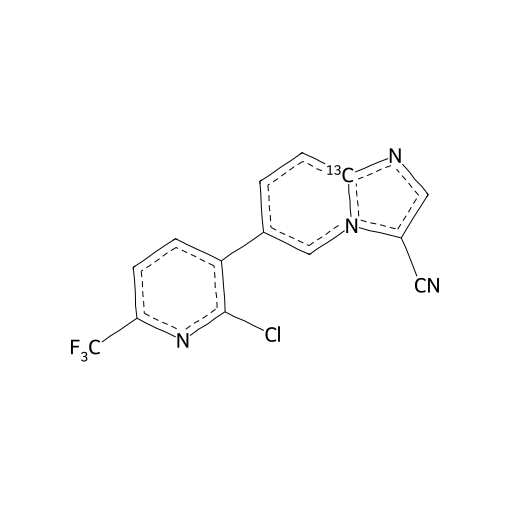 N#Cc1cn[13c]2ccc(-c3ccc(C(F)(F)F)nc3Cl)cn12